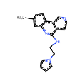 O=C(O)c1ccc2c(c1)nc(NCCn1cccc1)c1ccncc12